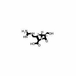 N=C(N)NCC1=C(C(=O)O)N2C(=O)[C@H](CO)[C@H]2S1